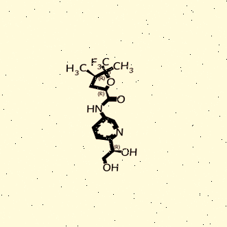 C[C@@H]1C[C@H](C(=O)Nc2ccc([C@@H](O)CO)nc2)O[C@]1(C)C(F)(F)F